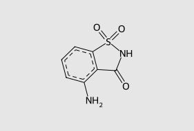 Nc1cccc2c1C(=O)NS2(=O)=O